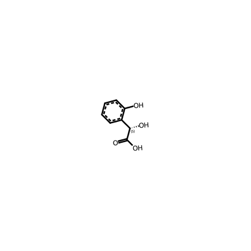 O=C(O)[C@@H](O)c1ccccc1O